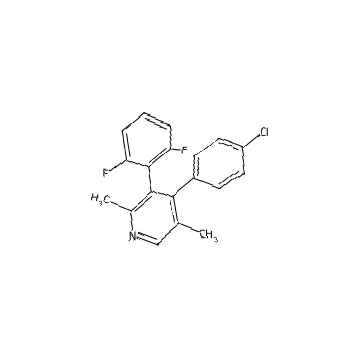 Cc1cnc(C)c(-c2c(F)cccc2F)c1-c1ccc(Cl)cc1